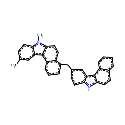 Cc1ccc2c(c1)c1c3cccc(Cc4ccc5[nH]c6ccc7ccccc7c6c5c4)c3ccc1n2C